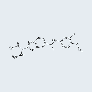 CC(Nc1ccc(OC(F)(F)F)c(Cl)c1)c1ccc2oc(C(NN)NN)cc2c1